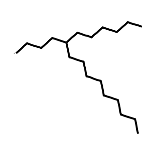 [CH2]CCCC(CCCCCC)CCCCCCCCC